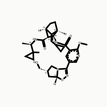 COc1ncc(C2=NO[C@@H]3C[C@H](CO)CN23)cc1C(=O)N[C@H]1[C@@H](C(=O)N[C@H](C)C2(C)CC2)[C@H]2CC[C@@H]1/C2=C\C1CC1